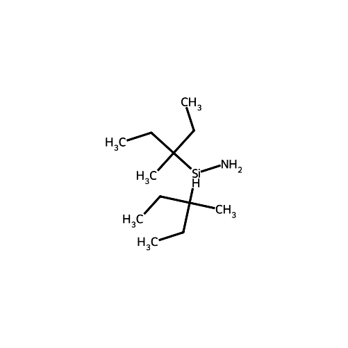 CCC(C)(CC)[SiH](N)C(C)(CC)CC